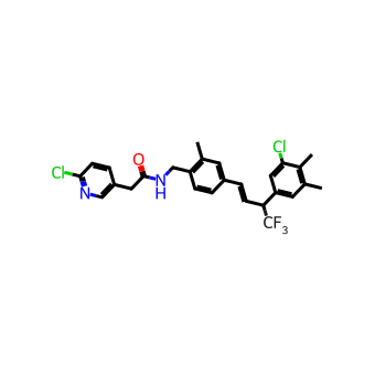 Cc1cc(/C=C/C(c2cc(C)c(C)c(Cl)c2)C(F)(F)F)ccc1CNC(=O)Cc1ccc(Cl)nc1